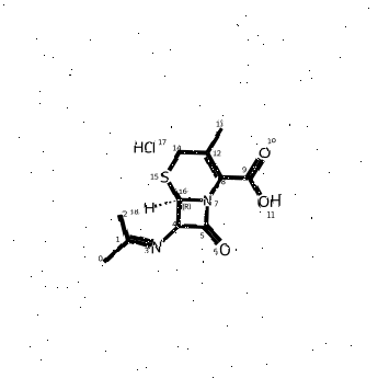 CC(C)=NC1C(=O)N2C(C(=O)O)=C(C)CS[C@H]12.Cl